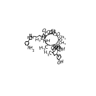 CC[C@H]1OC(=O)[C@H](C)C(=O)[C@H](C)[C@@H](O[C@@H]2OC(C)CC(N3CC[C@@H](O)C3)C2O)[C@](C)(OC)C[C@@H](C)CN[C@H](C)[C@H]2N(CCCCn3cc(-c4cccc(N)c4)nn3)C(=O)O[C@]12C